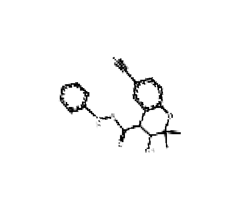 CC1(C)Oc2ccc(C#N)cc2C(C(=O)SNc2ccccc2)C1O